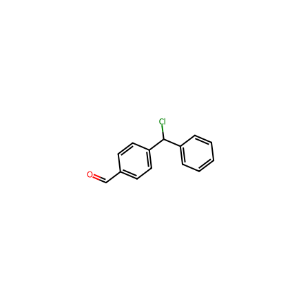 O=Cc1ccc(C(Cl)c2ccccc2)cc1